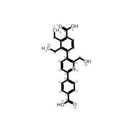 CCc1c(C(=O)O)ccc(-c2ccc(-c3ccc(C(=O)O)cc3)nc2CO)c1CC